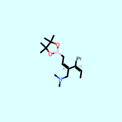 C/C=C(\C(=C/CB1OC(C)(C)C(C)(C)O1)CN(C)C)C(C)C